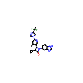 Cc1cc(-n2cnc(C(C)(F)F)c2)ncc1[C@H]1C(C2CC2)C(=O)N1c1ccc2[nH]cnc2c1